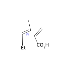 C/C=C/CC.C=CC(=O)O